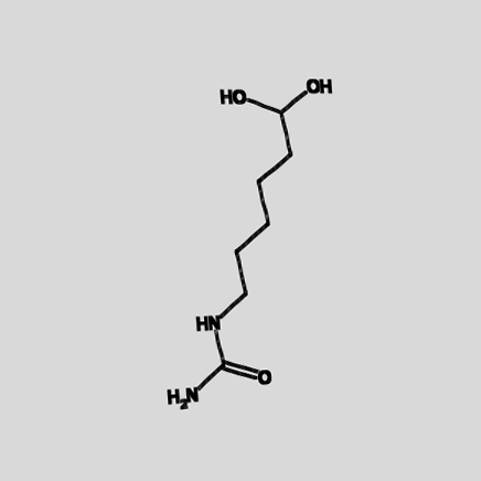 NC(=O)NCCCCCC(O)O